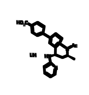 CC(=O)N1c2ccc(-c3ccc(C(=O)O)cc3)cc2[C@H](Nc2ccccn2)C[C@@H]1C.[LiH]